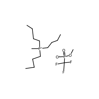 CCCC[P+](C)(CCCC)CCCC.COP(=O)([O-])C(F)(F)F